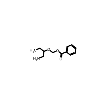 CCC(CN)OCOC(=O)c1ccccc1